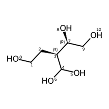 OCC[C@H](C(O)O)[C@@H](O)CO